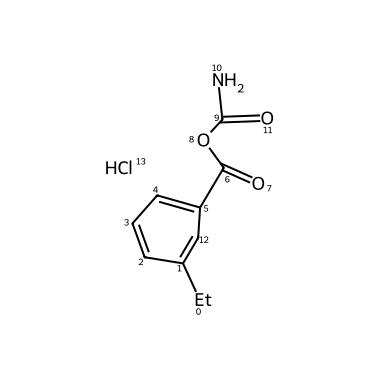 CCc1cccc(C(=O)OC(N)=O)c1.Cl